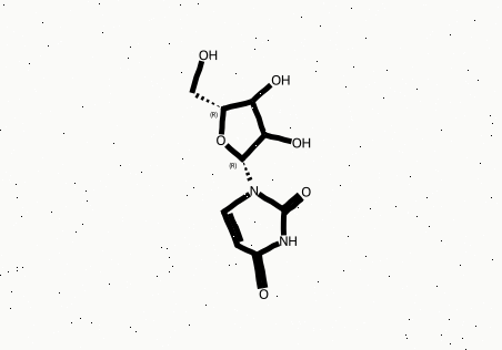 O=c1ccn([C@@H]2O[C@H](CO)C(O)C2O)c(=O)[nH]1